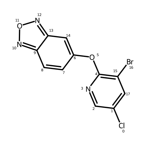 Clc1cnc(Oc2ccc3nonc3c2)c(Br)c1